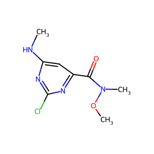 CNc1cc(C(=O)N(C)OC)nc(Cl)n1